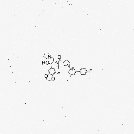 O=C(N[C@H](CN1CCCC1)[C@H](O)c1cc(F)c2c(c1)OCCO2)[C@@H]1CCN(c2cccc(-c3ccc(F)cc3)n2)C1